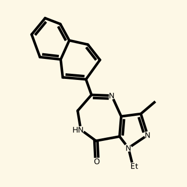 CCn1nc(C)c2c1C(=O)NCC(c1ccc3ccccc3c1)=N2